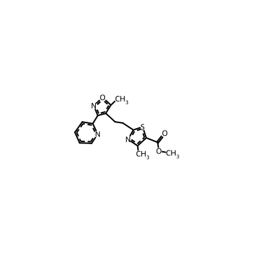 COC(=O)c1sc(CCc2c(-c3ccccn3)noc2C)nc1C